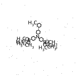 Cc1cccc(-c2ccc(N(c3ccc(B4OC(C)(C)C(C)(C)O4)cc3)c3ccc(B4OC(C)(C)C(C)(C)O4)cc3)cc2)c1